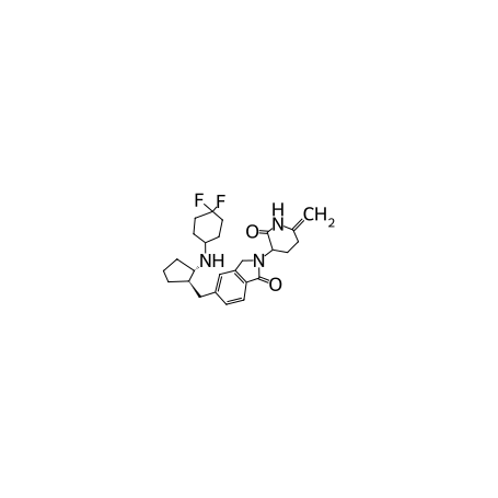 C=C1CCC(N2Cc3cc(C[C@H]4CCC[C@@H]4NC4CCC(F)(F)CC4)ccc3C2=O)C(=O)N1